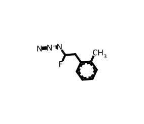 Cc1ccccc1CC(F)N=[N+]=[N-]